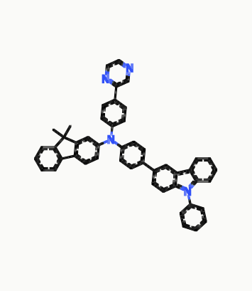 CC1(C)c2ccccc2-c2ccc(N(c3ccc(-c4ccc5c(c4)c4ccccc4n5-c4ccccc4)cc3)c3ccc(-c4cnccn4)cc3)cc21